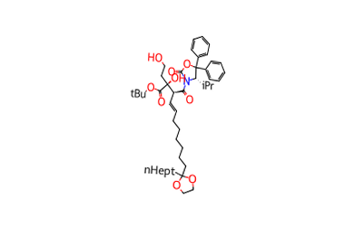 CCCCCCCC1(CCCCCC/C=C/[C@H](C(=O)N2C(=O)OC(c3ccccc3)(c3ccccc3)[C@@H]2C(C)C)[C@@](O)(CCO)C(=O)OC(C)(C)C)OCCO1